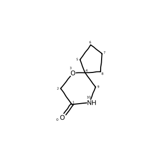 O=C1COC2(CCCC2)CN1